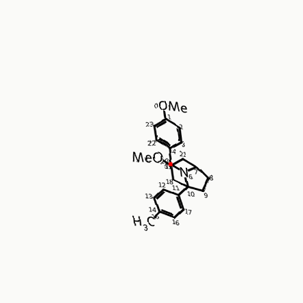 COc1ccc(CN2C3CCC2(c2ccc(C)cc2)CC(OC)C3)cc1